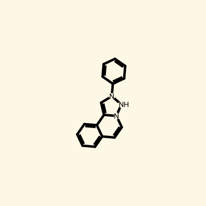 C1=CN2NN(c3ccccc3)C=C2c2ccccc21